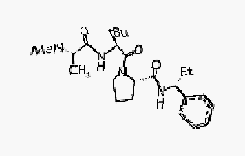 CC[C@@H](NC(=O)[C@@H]1CCCN1C(=O)[C@@H](NC(=O)[C@H](C)NC)C(C)(C)C)c1ccccc1